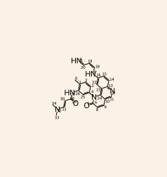 Cc1ccc(-n2c(=O)ccc3cnc4ccc(N/C=C\C=N)cc4c32)cc1NC(=O)/C=C/N(C)C